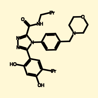 CC(C)CNC(=O)c1nnc(-c2cc(C(C)C)c(O)cc2O)n1-c1ccc(CN2CCOCC2)cc1